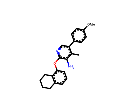 COc1ccc(-c2cnc(Oc3cccc4c3CCCC4)c(N)c2C)cc1